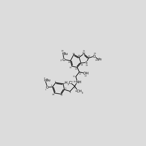 CCCCOc1ccc(CC(C)(C)NCC(O)c2cc(OC(C)(C)C)cc3nc(OC(C)C)sc23)cc1